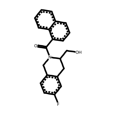 O=C(c1cccc2ccccc12)N1Cc2ccc(F)cc2CC1CO